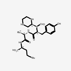 CC[C@H](C)[C@H](NC(=O)[C@H](Cc1ccc(O)cc1)N(C=O)[C@H]1CNCCN1)C(=O)N[C@@H](CCC(C)(C)C)C(=O)O